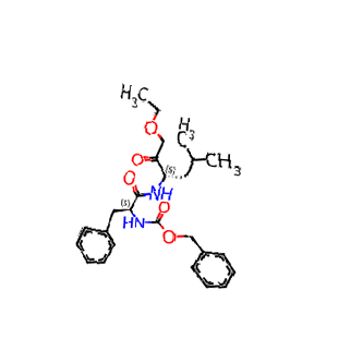 CCOCC(=O)[C@H](CC(C)C)NC(=O)[C@H](Cc1ccccc1)NC(=O)OCc1ccccc1